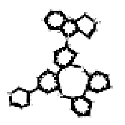 C1=CNCC(c2ccc3c(c2)Oc2ccccc2-c2ccccc2Oc2cc(-n4c5c(c6ccccc64)CNC=C5)ccc2-3)=C1